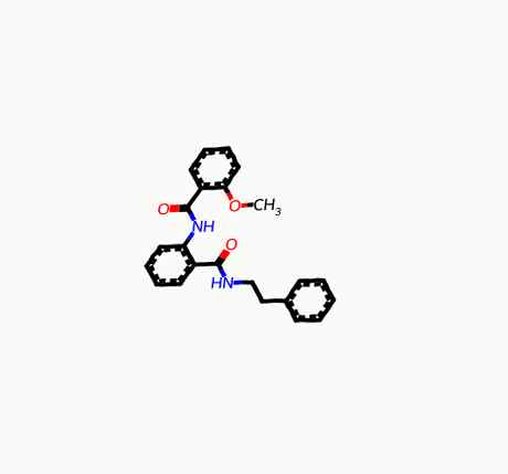 COc1ccccc1C(=O)Nc1ccccc1C(=O)NCCc1ccccc1